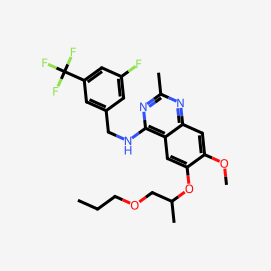 CCCOCC(C)Oc1cc2c(NCc3cc(F)cc(C(F)(F)F)c3)nc(C)nc2cc1OC